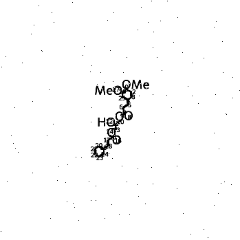 COc1ccc(C=CC(=O)OCC(O)COC(=O)/C=C/c2ccccc2)cc1OC